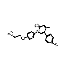 COCCOc1ccc(-n2cc(-c3ccc(F)cc3)c(C)cc2=O)cc1